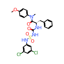 COc1ccc(N(C)C(=O)[C@H](Cc2ccccc2)NC(=O)NS(=O)(=O)Nc2cc(Cl)cc(Cl)c2)cc1